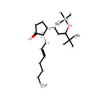 CCCCC(C)(C)C(CC[C@H]1CCC(=O)[C@H]1CC=CCCCC(=O)O)O[Si](C)(C)C(C)(C)C